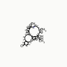 CNC(=O)[C@@]1(O)CC(=O)N(C)CC/C=C/[C@H](OC)[C@@H]2CC[C@H]2CN2CCCCc3cc(Cl)ccc3COc3ccc1cc32